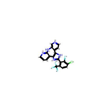 Fc1c(Cl)ccc(C(F)(F)F)c1-c1nc2c([nH]1)-c1ccncc1Nc1ncccc1-2